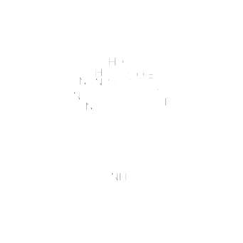 CS(=O)(=O)c1c(C(F)(F)F)ccc(-c2ccc3c(c2)C(N)CCC3)c1-c1nnn[nH]1